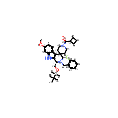 COc1ccc2c3c([nH]c2c1)[C@H](CO[Si](C)(C)C(C)(C)C)N(Cc1ccccc1F)CC31CCN(C(=O)C2CCC2)CC1